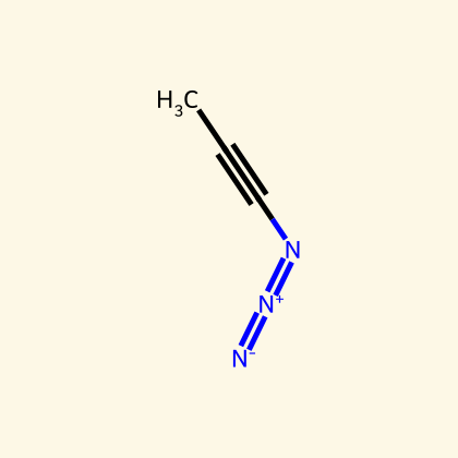 CC#CN=[N+]=[N-]